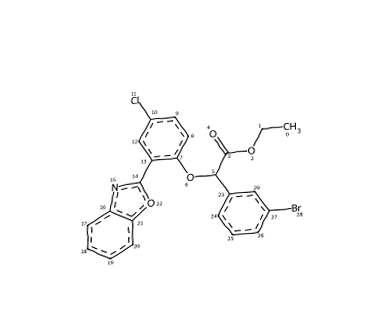 CCOC(=O)C(Oc1ccc(Cl)cc1-c1nc2ccccc2o1)c1cccc(Br)c1